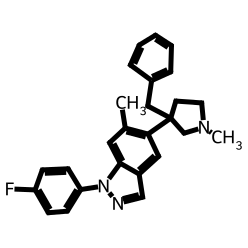 Cc1cc2c(cnn2-c2ccc(F)cc2)cc1C1(Cc2ccccc2)CCN(C)C1